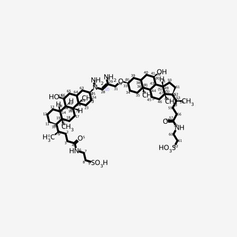 C[C@H](CCC(=O)NCCS(=O)(=O)O)[C@H]1CCC[C@@H]2[C@@H]3[C@@H](CC[C@@]21C)[C@@]1(C)CC[C@H](N(N)/C=C(\N)CO[C@@H]2CC[C@]4(C)C(C2)C[C@@H](O)C2C4CC[C@]4(C)[C@H]2CC[C@H]4[C@@H](C)CCC(=O)NCCS(=O)(=O)O)CC1C[C@@H]3O